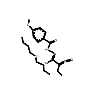 CCC(=C=O)C(O)=NNC(=O)c1ccc(OC)cc1.CCC[CH2][Sn][CH2]CCC